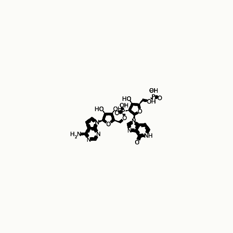 Nc1ncnc2c1ccn2[C@@H]1O[C@H](COP(=O)(O)[C@@H]2[C@H](O)[C@@H](CO[PH](=O)O)O[C@H]2n2cnc3c(=O)[nH]ccc32)[C@@H](O)[C@H]1O